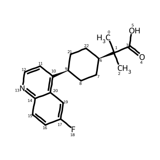 CC(C)(C(=O)O)[C@H]1CC[C@@H](c2ccnc3ccc(F)cc32)CC1